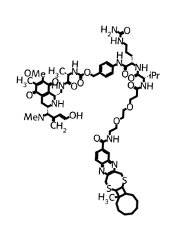 C=C(/C=C/O)C(NC)[C@@H]1CC2=C(C(=O)C(OC)=C(C)C2=O)[C@H](CNC(=O)[C@H](C)NC(=O)OCc2ccc(NC(=O)[C@H](CCCNC(N)=O)NC(=O)[C@@H](NC(=O)CCOCCOCCNC(=O)c3ccc4nc5c(nc4c3)CSC3C4CCCCCCCC4(C)C3SC5)C(C)C)cc2)N1